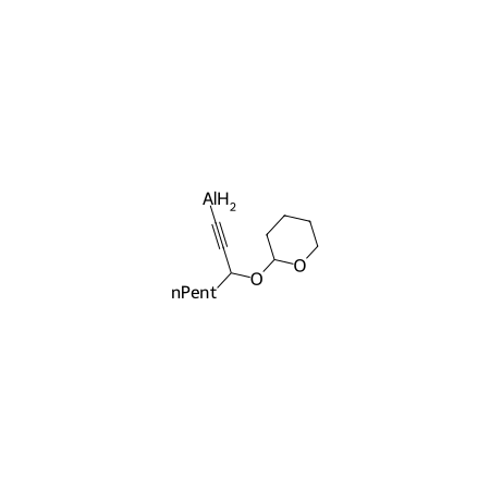 CCCCCC(C#[C][AlH2])OC1CCCCO1